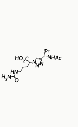 CC(=O)N[C@H](c1cn([C@@H](CCCNC(N)=O)C(=O)O)nn1)C(C)C